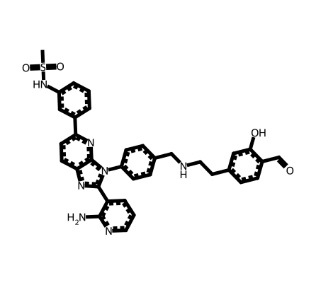 CS(=O)(=O)Nc1cccc(-c2ccc3nc(-c4cccnc4N)n(-c4ccc(CNCCc5ccc(C=O)c(O)c5)cc4)c3n2)c1